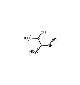 [CH2]CCNC(C(=O)O)C(O)C(=O)O